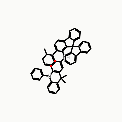 CC1CC=CC=C1c1ccc2c(c1Nc1ccc3c(c1)C(C)(C)c1ccccc1N3c1ccccc1)C1(c3ccccc3-c3ccccc31)c1ccccc1-2